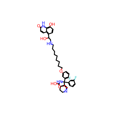 O=C(O)NC(c1cccc(OCCCCCCCCCNCC(O)c2ccc(O)c3[nH]c(=O)ccc23)c1)(c1cccc(F)c1F)C1CN2CCC1CC2